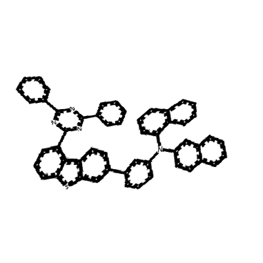 c1ccc(-c2nc(-c3ccccc3)nc(-c3cccc4sc5cc(-c6cccc(N(c7ccc8ccccc8c7)c7cccc8ccccc78)c6)ccc5c34)n2)cc1